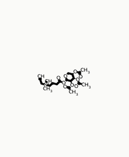 C#CC[N+](C)(C)CCCC(=O)OC1OC[C@@H](OC(C)=O)[C@H](OC(C)=O)[C@H]1OC(C)=O